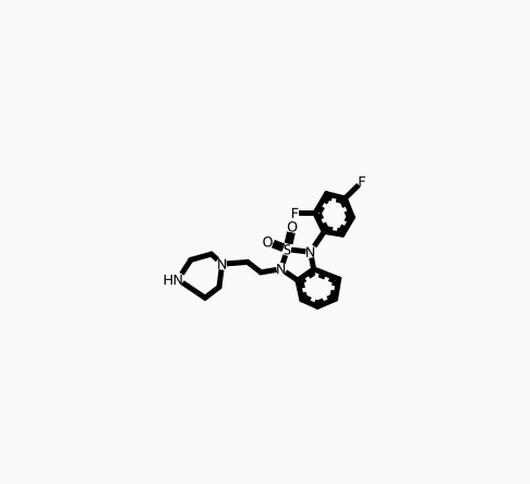 O=S1(=O)N(CCN2CCNCC2)c2ccccc2N1c1ccc(F)cc1F